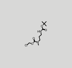 CN(CCCNC(=O)OC(C)(C)C)C(=O)OCCl